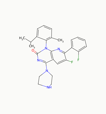 Cc1cccc(C(C)C)c1-n1c(=O)nc(N2CCNCC2)c2cc(F)c(-c3ccccc3F)nc21